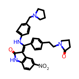 O=C1Nc2ccc([N+](=O)[O-])cc2/C1=C(/Nc1ccc(CN2CCCC2)cc1)c1ccc(CCN2CCCC2=O)cc1